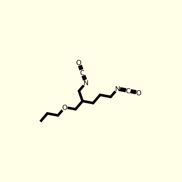 CCCOCC(CCCN=C=O)CN=C=O